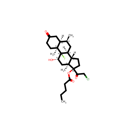 CCCCC(=O)O[C@]1(C(=O)CCl)CC[C@H]2[C@@H]3C[C@H](C)[C@@H]4CC(=O)CC[C@]4(C)[C@@]3(F)[C@@H](O)C[C@@]21C